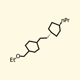 CCC[C@H]1CC[C@H](CCC2CCC(COCC)CC2)CC1